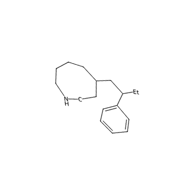 CCC(CC1CCCCNCC1)c1ccccc1